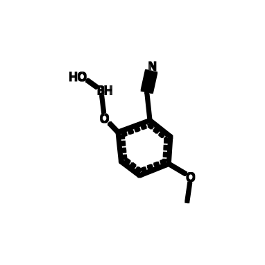 COc1ccc(OBO)c(C#N)c1